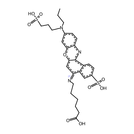 CCCN(CCCS(=O)(=O)O)c1ccc2nc3c4ccc(S(=O)(=O)O)cc4/c(=N\CCCCCC(=O)O)cc-3oc2c1